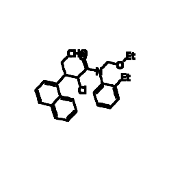 CCOCN(C(=O)C(Cl)C(CC=O)c1cccc2ccccc12)c1ccccc1CC